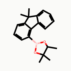 CC1OB(c2cccc3c2-c2ccccc2C3(C)C)OC1(C)C